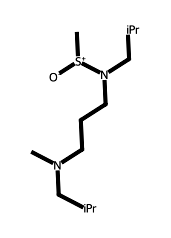 CC(C)CN(C)CCCN(CC(C)C)[S+](C)[O-]